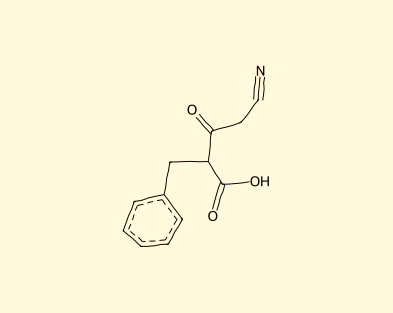 N#CCC(=O)C(Cc1ccccc1)C(=O)O